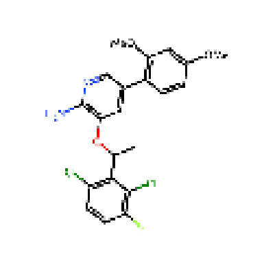 COc1ccc(-c2cnc(N)c(OC(C)c3c(Cl)ccc(F)c3Cl)c2)c(OC)c1